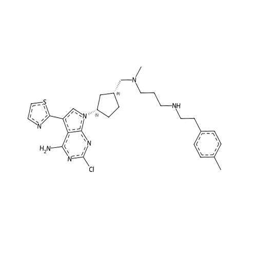 Cc1ccc(CCNCCCN(C)C[C@@H]2CC[C@H](n3cc(-c4nccs4)c4c(N)nc(Cl)nc43)C2)cc1